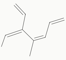 C=C/C=C(C)\C(C=C)=C/C